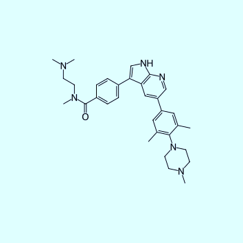 Cc1cc(-c2cnc3[nH]cc(-c4ccc(C(=O)N(C)CCN(C)C)cc4)c3c2)cc(C)c1N1CCN(C)CC1